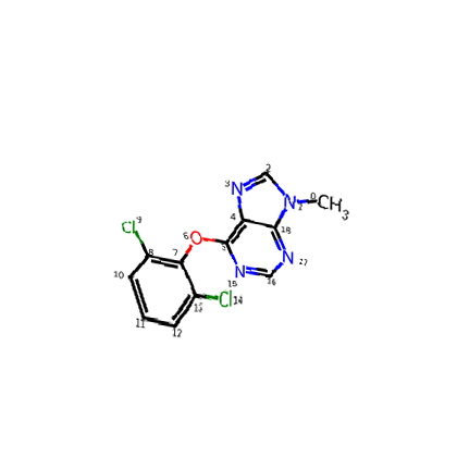 Cn1cnc2c(Oc3c(Cl)cccc3Cl)ncnc21